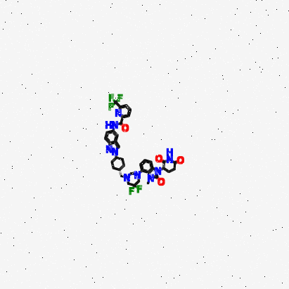 Cn1c(=O)n(C2CCC(=O)NC2=O)c2cccc(N3CN(C[C@H]4CC[C@H](n5cc6cc(NC(=O)c7cccc(C(F)(F)F)n7)ccc6n5)CC4)CC(F)(F)C3)c21